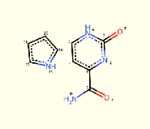 NC(=O)c1cc[nH]c(=O)n1.c1cc[nH]c1